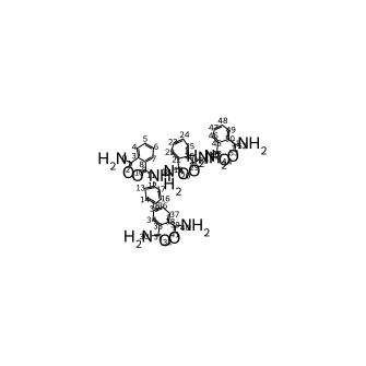 NC(=O)c1ccccc1C(=O)Nc1ccccc1.NC(=O)c1ccccc1C(N)=O.NC(=O)c1ccccc1C(N)=O.NC(=O)c1ccccc1C(N)=O